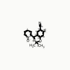 CC1(C)N=C(c2cccc[n+]2[O-])c2cc(C#N)c(F)cc2O1